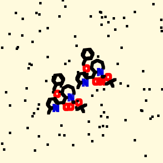 Cc1ccc(OCc2ccccc2)c(C(=O)C2CCCCCN2C(=O)OC(C)(C)C)n1.Cc1ccc(OCc2ccccc2)c(C(O)C2CCCCCN2C(=O)OC(C)(C)C)n1